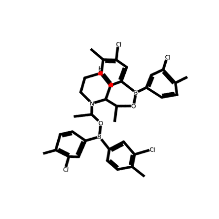 Cc1ccc(B(OC(C)C2CNCCN2C(C)OB(c2ccc(C)c(Cl)c2)c2ccc(C)c(Cl)c2)c2ccc(C)c(Cl)c2)cc1Cl